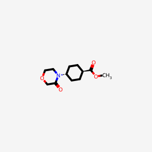 COC(=O)[C@H]1CC[C@H](N2CCOCC2=O)CC1